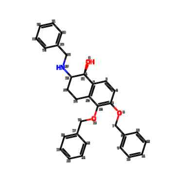 O[C@H]1c2ccc(OCc3ccccc3)c(OCc3ccccc3)c2CCC1NCc1ccccc1